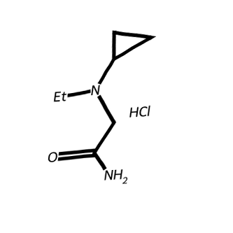 CCN(CC(N)=O)C1CC1.Cl